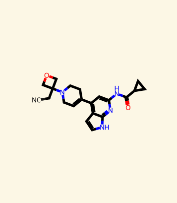 N#CCC1(N2CC=C(c3cc(NC(=O)C4CC4)nc4[nH]ccc34)CC2)COC1